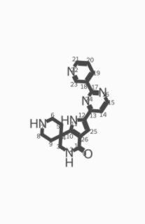 O=C1NCC2(CCNCC2)c2[nH]c(-c3ccnc(-c4cccnc4)n3)cc21